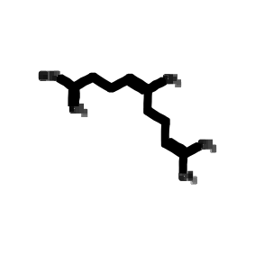 C=C(C=O)CCC=C(C)CCC=C(C)C